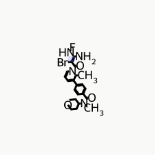 CC1C(c2ccc(C(=O)N(C)C3CCOCC3)cc2)=CC=CN1C(=O)/C(Br)=C(\N)NF